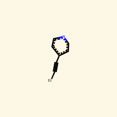 [CH2]CC#Cc1ccncc1